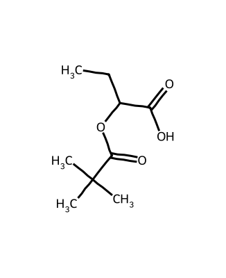 CCC(OC(=O)C(C)(C)C)C(=O)O